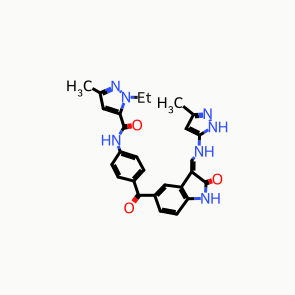 CCn1nc(C)cc1C(=O)Nc1ccc(C(=O)c2ccc3c(c2)C(=CNc2cc(C)n[nH]2)C(=O)N3)cc1